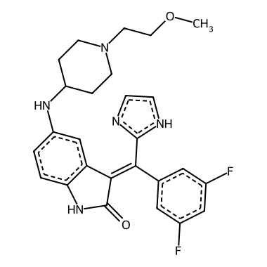 COCCN1CCC(Nc2ccc3c(c2)C(=C(c2cc(F)cc(F)c2)c2ncc[nH]2)C(=O)N3)CC1